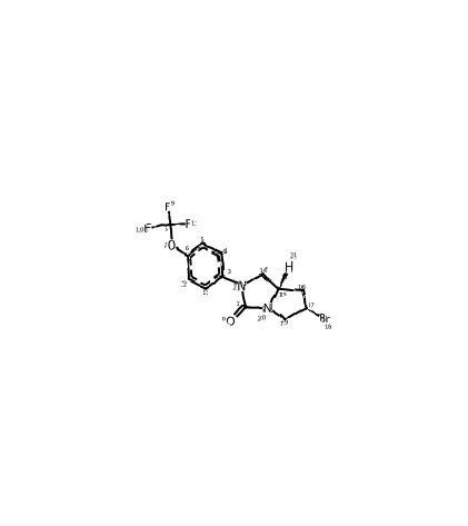 O=C1N(c2ccc(OC(F)(F)F)cc2)C[C@@H]2C[C@@H](Br)CN12